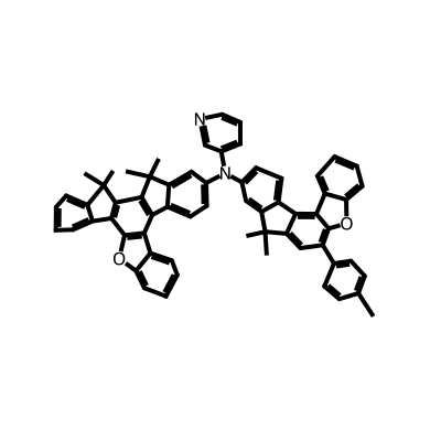 Cc1ccc(-c2cc3c(c4c2oc2ccccc24)-c2ccc(N(c4cccnc4)c4ccc5c(c4)C(C)(C)c4c6c(c7oc8ccccc8c7c4-5)-c4ccccc4C6(C)C)cc2C3(C)C)cc1